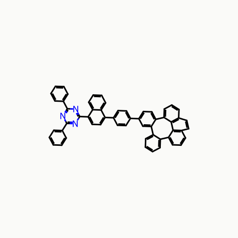 c1ccc(-c2nc(-c3ccccc3)nc(-c3ccc(-c4ccc(-c5ccc6c(c5)c5ccccc5c5cccc7ccc8cccc6c8c75)cc4)c4ccccc34)n2)cc1